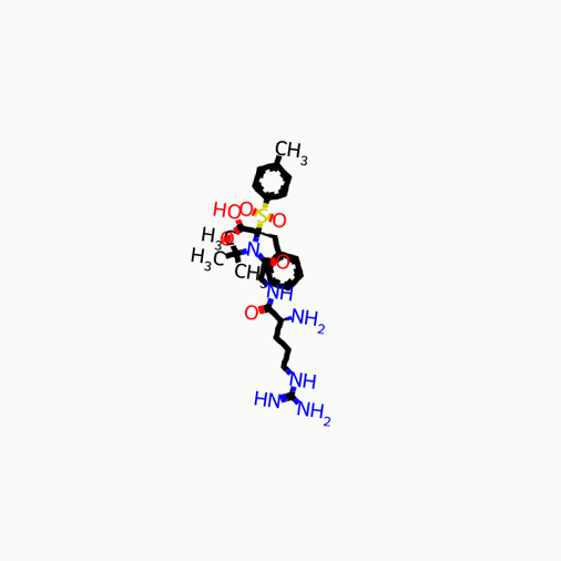 Cc1ccc(S(=O)(=O)[C@@](Cc2ccccc2)(C(=O)O)N(C(=O)CNC(=O)[C@@H](N)CCCNC(=N)N)C(C)(C)C)cc1